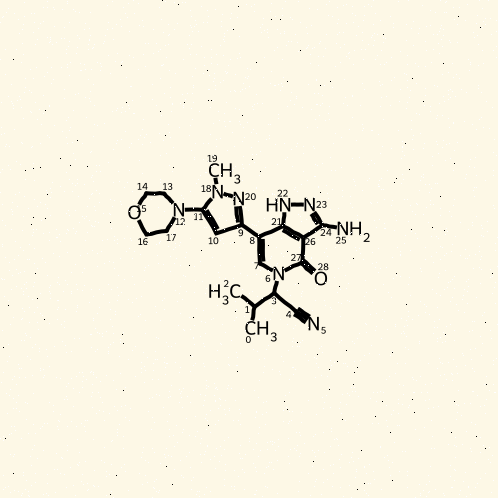 CC(C)C(C#N)n1cc(-c2cc(N3CCOCC3)n(C)n2)c2[nH]nc(N)c2c1=O